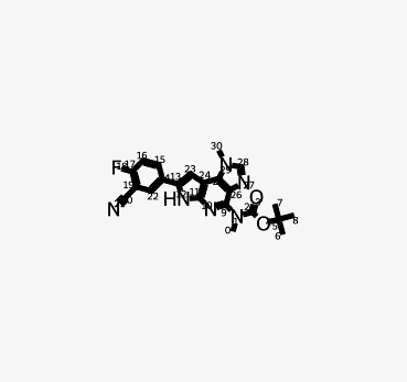 CN(C(=O)OC(C)(C)C)c1nc2[nH]c(-c3ccc(F)c(C#N)c3)cc2c2c1ncn2C